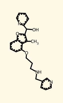 Cc1c(C(O)c2ccccn2)oc2cccc(OCCCNCc3cccnc3)c12